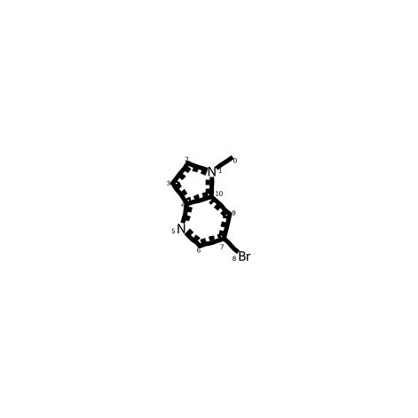 Cn1ccc2ncc(Br)cc21